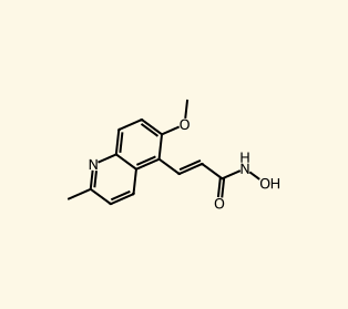 COc1ccc2nc(C)ccc2c1C=CC(=O)NO